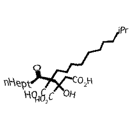 CCCCCCCC(=O)C(CCCCCCCCC(C)C)(C(=O)O)C(O)(CC(=O)O)C(=O)O